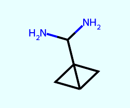 NC(N)C12CC1C2